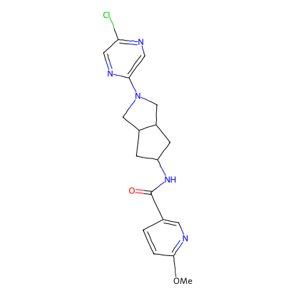 COc1ccc(C(=O)NC2CC3CN(c4cnc(Cl)cn4)CC3C2)cn1